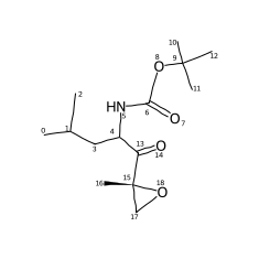 CC(C)CC(NC(=O)OC(C)(C)C)C(=O)[C@@]1(C)CO1